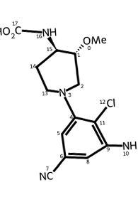 CO[C@@H]1CN(c2cc(C#N)cc(N)c2Cl)CC[C@H]1NC(=O)O